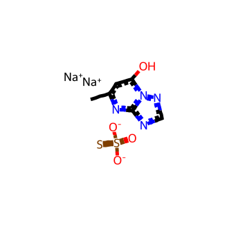 Cc1cc(O)n2ncnc2n1.O=S([O-])([O-])=S.[Na+].[Na+]